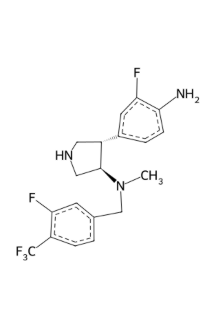 CN(Cc1ccc(C(F)(F)F)c(F)c1)[C@H]1CNC[C@@H]1c1ccc(N)c(F)c1